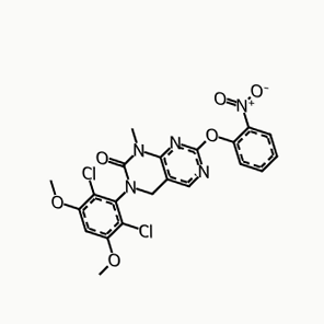 COc1cc(OC)c(Cl)c(N2Cc3cnc(Oc4ccccc4[N+](=O)[O-])nc3N(C)C2=O)c1Cl